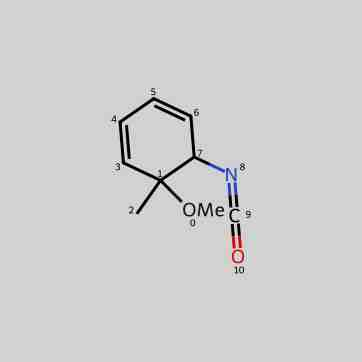 COC1(C)C=CC=CC1N=C=O